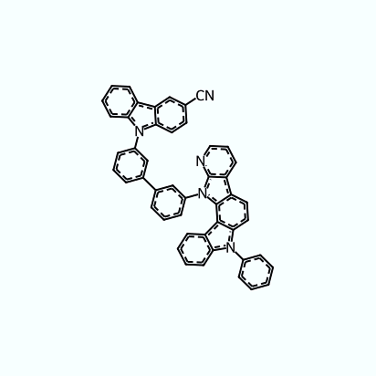 N#Cc1ccc2c(c1)c1ccccc1n2-c1cccc(-c2cccc(-n3c4ncccc4c4ccc5c(c6ccccc6n5-c5ccccc5)c43)c2)c1